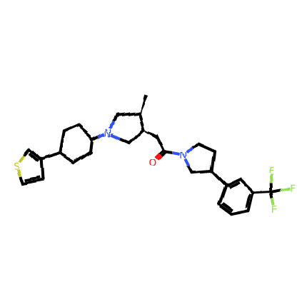 C[C@@H]1CN(C2CCC(c3ccsc3)CC2)C[C@@H]1CC(=O)N1CCC(c2cccc(C(F)(F)F)c2)C1